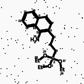 CCO[Si](CCCc1ccc2ccccc2c1N)(OCC)OCC